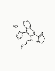 COCCOc1c(C2=NCCN2)cc2ccccc2c1-c1ccsc1.Cl